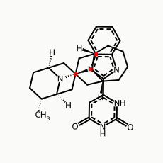 C[C@@H]1CC[C@H]2C[C@@H](n3c(-c4cc(=O)[nH]c(=O)[nH]4)nc4ccccc43)C[C@@H]1N2[C@@H]1C[C@@H]2CCCC[C@@H](C2)C1